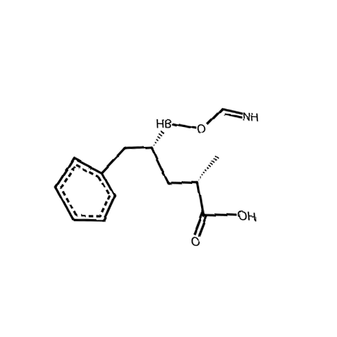 C[C@@H](C[C@@H](BOC=N)Cc1ccccc1)C(=O)O